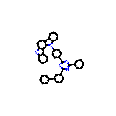 c1ccc(-c2cccc(-c3nc(-c4ccccc4)nc(-c4ccc(-n5c6ccccc6c6ccc7[nH]c8ccccc8c7c65)cc4)n3)c2)cc1